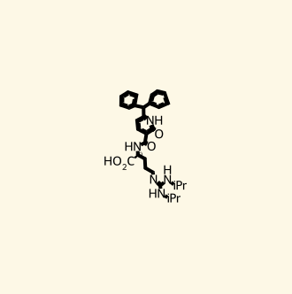 CC(C)NC(=NCCC[C@H](NC(=O)c1ccc(C(c2ccccc2)c2ccccc2)[nH]c1=O)C(=O)O)NC(C)C